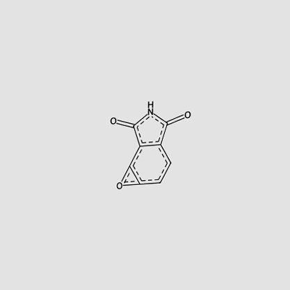 O=c1[nH]c(=O)c2c1ccc1oc12